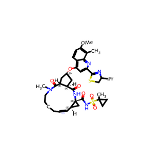 COc1ccc2c(O[C@@H]3C[C@H]4C(=O)N[C@]5(C(=O)NS(=O)(=O)C6(C)CC6)C[C@H]5/C=C\CCCCN(C)C(=O)[C@@H]4C3)cc(C3=NC(C(C)C)CS3)nc2c1C